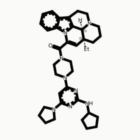 CC[C@@]12C=C(C(=O)N3CCN(c4cc(N5CCCC5)nc(NC5CCCC5)n4)CC3)n3c4c(c5ccccc53)CCN(CCC1)[C@H]42